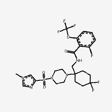 Cn1cnc(S(=O)(=O)N2CCN(C3(CNC(=O)c4c(F)cccc4OC(F)(F)F)CCC(F)(F)CC3)CC2)c1